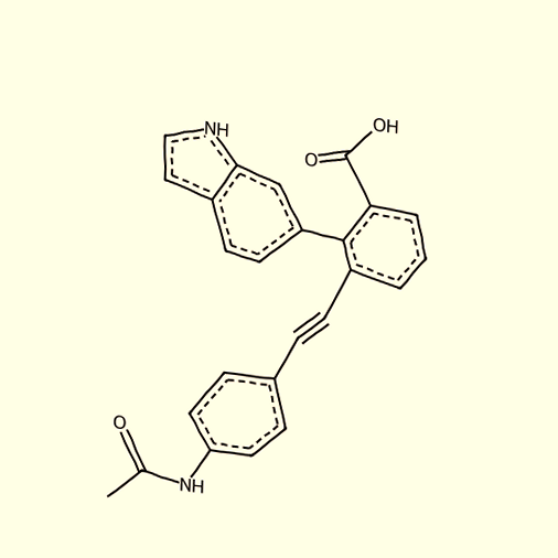 CC(=O)Nc1ccc(C#Cc2cccc(C(=O)O)c2-c2ccc3cc[nH]c3c2)cc1